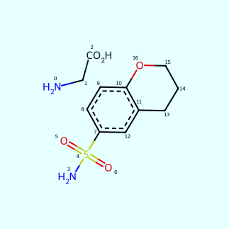 NCC(=O)O.NS(=O)(=O)c1ccc2c(c1)CCCO2